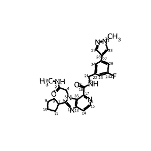 CNC(=O)Cn1c(C2CCCC2)nc2ccnc(C(=O)NCc3cc(F)cc(-c4cnn(C)c4)c3)c21